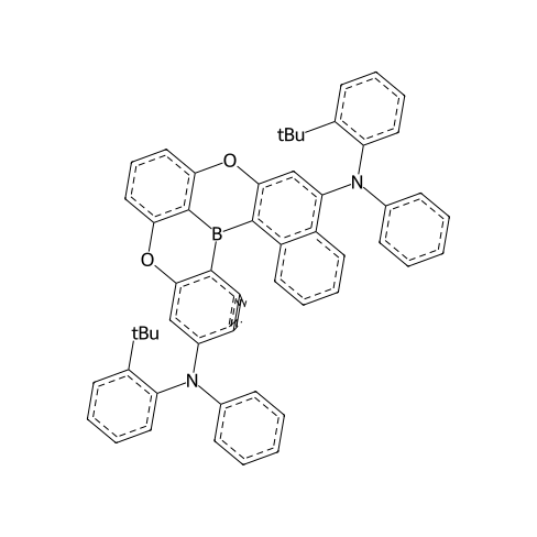 CC(C)(C)c1ccccc1N(c1ccccc1)c1cc2c(c3ccccc13)B1c3c(cccc3Oc3cc(N(c4ccccc4)c4ccccc4C(C)(C)C)c4ccccc4c31)O2